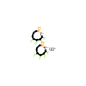 Fc1[c-][pH]cccc(F)c(F)c1F.Fc1[c-][pH]cccc(F)c(F)c1F.[Li+].[Li+]